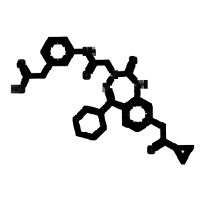 O=C(O)Cc1cccc(NC(=O)CN2N=C(C3CCCCC3)c3ccc(CC(=O)C4CC4)cc3NC2=O)c1